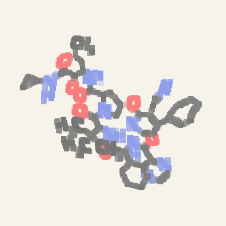 CCCC(NC(=O)C1C[C@H](Oc2nccc(-c3ccccc3)c2C#N)CN1C(=O)C(NC(=O)C(NC(=O)c1cnccn1)C1CCCCC1)C(C)(C)C)C(=O)C(=O)NC1CC1